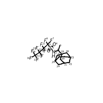 CC(NS(=O)(=O)C(F)(F)C(F)(F)C(F)(F)C(F)(F)F)C12CC3CC(CC(C3)C1)C2